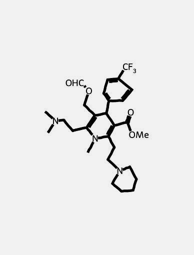 COC(=O)C1=C(CCN2CCCCC2)N(C)C(CCN(C)C)=C(COC=O)C1c1ccc(C(F)(F)F)cc1